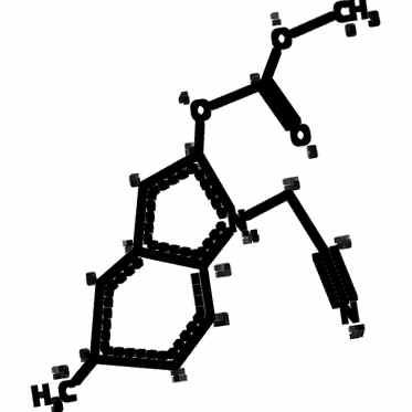 COC(=O)Oc1cc2cc(C)ccc2n1CC#N